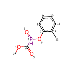 COC(=O)[PH](=O)Oc1ccccc1C